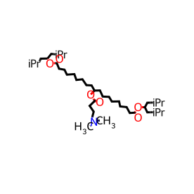 CC(C)CC(CC(C)C)OC(=O)CCCCCCCCC(CCCCCCCCC(=O)OC(CC(C)C)CC(C)C)OC(=O)CCCN(C)C